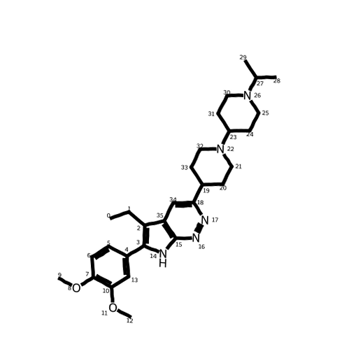 CCc1c(-c2ccc(OC)c(OC)c2)[nH]c2nnc(C3CCN(C4CCN(C(C)C)CC4)CC3)cc12